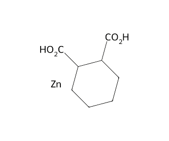 O=C(O)C1CCCCC1C(=O)O.[Zn]